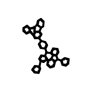 C1=CCC2C(=C1)n1c3ccccc3c3cc(C4C=CC(N(c5ccc(-c6ccccc6)cc5)c5cccc6c5-c5ccccc5C6c5ccccc5)=CC4)cc2c31